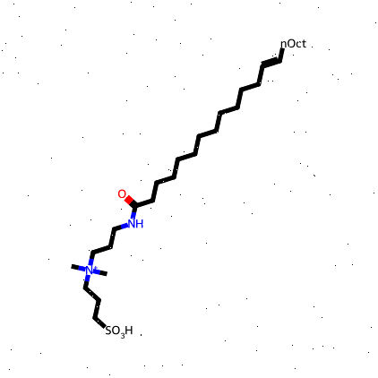 CCCCCCCCC=CCCCCCCCCCCCC(=O)NCCC[N+](C)(C)CCCS(=O)(=O)O